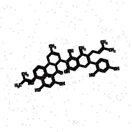 C=C1C(CC=C(C)C)=C(c2ccc(O)cc2O)Cc2cc(O)c(C3C=C(C)CC(c4ccc(O)cc4O)C3C(=O)c3cc(CC=C(C)C)c(O)cc3O)c(O)c21